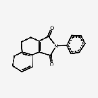 O=C1C2=C(C(=O)N1c1ccccc1)C1=C(CCC=C1)CC2